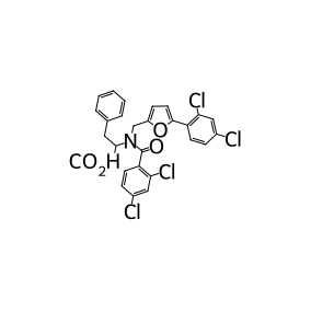 O=C(O)C(Cc1ccccc1)N(Cc1ccc(-c2ccc(Cl)cc2Cl)o1)C(=O)c1ccc(Cl)cc1Cl